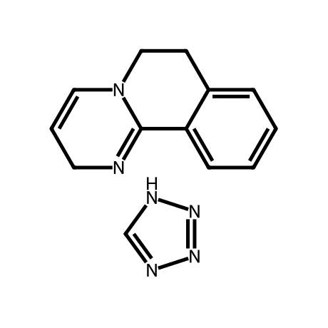 C1=CN2CCc3ccccc3C2=NC1.c1nnn[nH]1